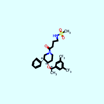 C[C@@H](O[C@H]1CCN(C(=O)CCCNS(C)(=O)=O)C[C@H]1c1ccccc1)c1cc(C(F)(F)F)cc(C(F)(F)F)c1